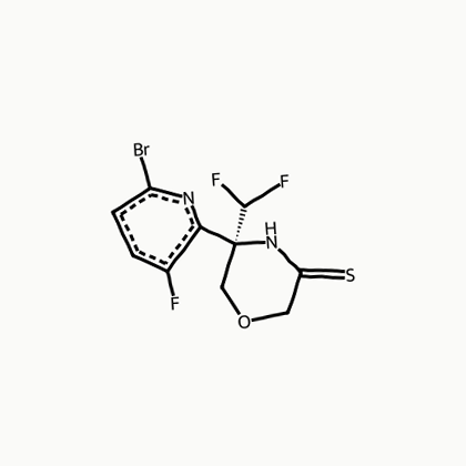 Fc1ccc(Br)nc1[C@]1(C(F)F)COCC(=S)N1